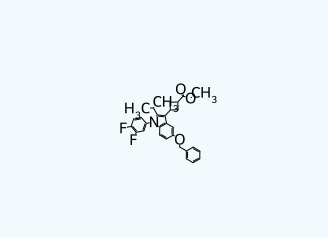 COC(=O)C1CC(c2c(C(C)C)n(-c3ccc(F)c(F)c3)c3ccc(OCc4ccccc4)cc23)C1